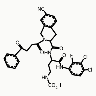 N#Cc1ccc2c(c1)CN(C(=O)CCC(=O)c1ccccc1)C(C(=O)NC(CCNC(=O)O)C(=O)Nc1ccc(Cl)c(Cl)c1F)C2